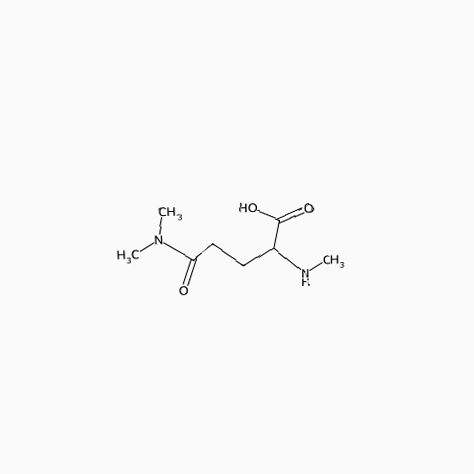 CNC(CCC(=O)N(C)C)C(=O)O